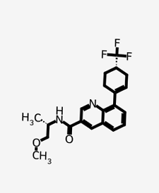 COC[C@H](C)NC(=O)c1cnc2c(C3=CC[C@@H](C(F)(F)F)CC3)cccc2c1